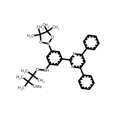 COC(C)(C)C(C)(C)OBc1cc(B2OC(C)(C)C(C)(C)O2)cc(-c2nc(-c3ccccc3)cc(-c3ccccc3)n2)c1